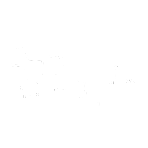 CCCCc1nc(Cl)c(CNC(=O)OC)n1Cc1ccc(-c2ccccc2-c2nnn[nH]2)cc1